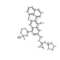 CC1(O)CCCN(c2nc(OCC3(CN4CCCC4)CC3)nc3c(F)c(-c4cccc5cccc(F)c45)ncc23)C1